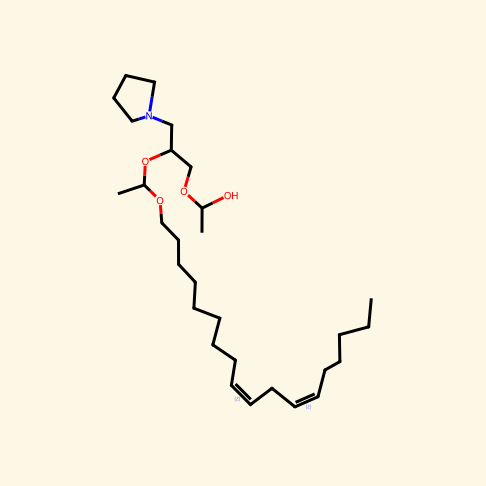 CCCCC/C=C\C/C=C\CCCCCCCCOC(C)OC(COC(C)O)CN1CCCC1